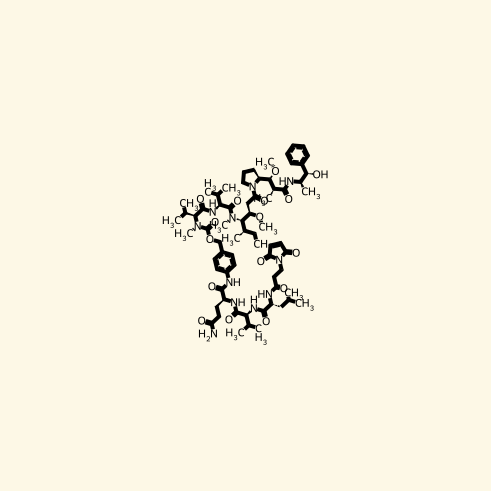 CC[C@H](C)[C@@H]([C@@H](CC(=O)N1CCC[C@H]1[C@H](OC)[C@@H](C)C(=O)N[C@H](C)[C@@H](O)c1ccccc1)OC)N(C)C(=O)[C@@H](NC(=O)[C@H](C(C)C)N(C)C(=O)OCc1ccc(NC(=O)[C@H](CCC(N)=O)NC(=O)[C@@H](NC(=O)[C@@H](CC(C)C)NC(=O)CCN2C(=O)C=CC2=O)C(C)C)cc1)C(C)C